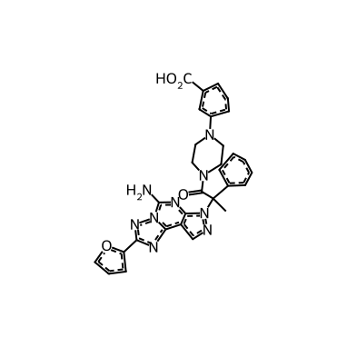 CC(C(=O)N1CCN(c2cccc(C(=O)O)c2)CC1)(c1ccccc1)n1ncc2c1nc(N)n1nc(-c3ccco3)nc21